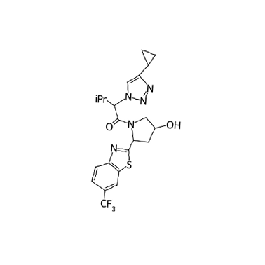 CC(C)C(C(=O)N1CC(O)CC1c1nc2ccc(C(F)(F)F)cc2s1)n1cc(C2CC2)nn1